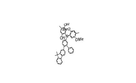 COc1cc(N(c2ccc(-c3ccc4c(c3)C(C)(C)c3ccccc3-4)c(-c3ccccc3)c2)c2cc(O)c(C)cc2O)c(OC)cc1C